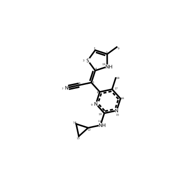 CC1=CSC(=C(C#N)c2nc(NC3CC3)ncc2C)N1